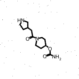 NC(=O)OC1CCN(C(=O)CC2CCNC2)CC1